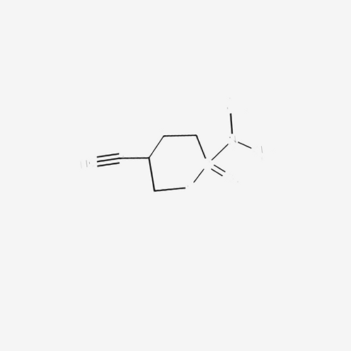 C#CC1CCP(=O)(N(C)C)SC1